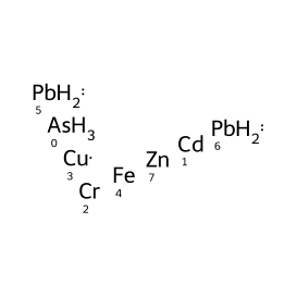 [AsH3].[Cd].[Cr].[Cu].[Fe].[PbH2].[PbH2].[Zn]